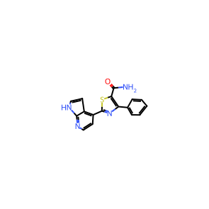 NC(=O)c1sc(-c2ccnc3[nH]ccc23)nc1-c1ccccc1